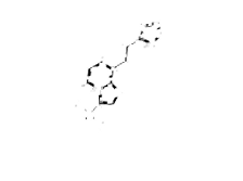 O=P(O)(O)c1cnc2c(CCc3nnn[nH]3)cccn12